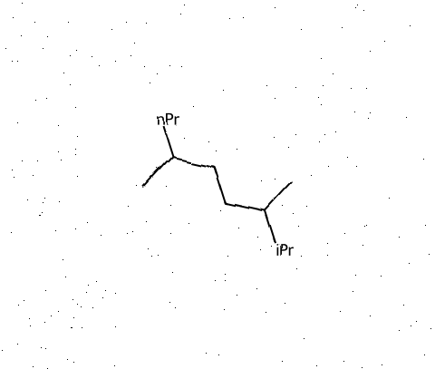 CCCC(C)CCC(C)C(C)C